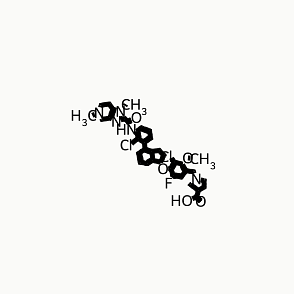 COc1c(CN2CCC(C(=O)O)C2)cc(F)c(OC2CCc3c(-c4cccc(NC(=O)c5nc6c(n5C)CCN(C)C6)c4Cl)cccc32)c1Cl